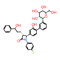 O=C1[C@H](CC[C@H](O)c2ccccc2)[C@@H](c2ccc(-c3cccc([C@@H]4O[C@H](CO)[C@@H](O)[C@H](O)[C@H]4O)c3)c(O)c2)N1c1ccc(F)cc1